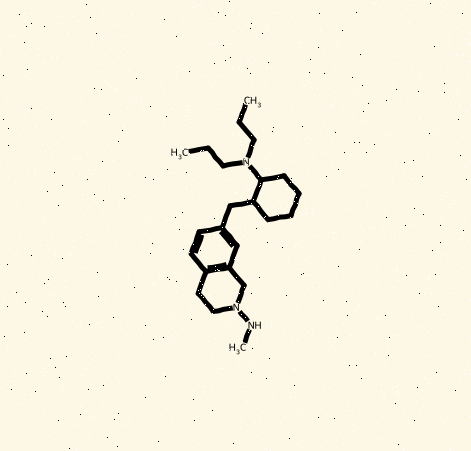 CCCN(CCC)C1CCCCC1Cc1ccc2c(c1)CN(NC)CC2